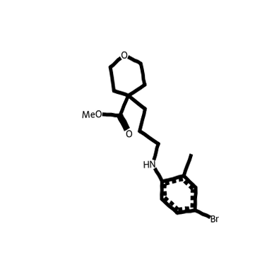 COC(=O)C1(CCCNc2ccc(Br)cc2C)CCOCC1